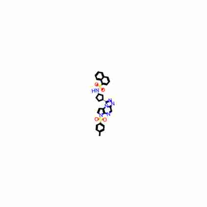 Cc1ccc(S(=O)(=O)n2ccc3c2ncc2nnc([C@@H]4CC[C@H](NS(=O)(=O)c5cccc6ccccc56)C4)n23)cc1